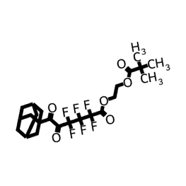 CC(C)(C)C(=O)OCCOC(=O)C(F)(F)C(F)(F)C(F)(F)C(=O)C(=O)C12CC3CC(CC(C3)C1)C2